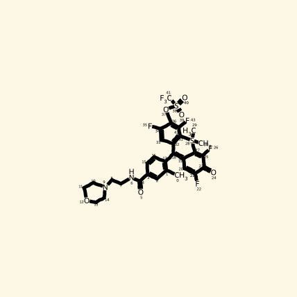 Cc1cc(C(=O)NCCN2CCOCC2)ccc1C1=C2C=C(F)C(=O)C(F)=C2S(C)(C)c2c1cc(F)c(OS(=O)(=O)C(F)(F)F)c2F